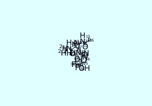 [2H]C([2H])([2H])NC(=O)c1nnc(NC(=O)C2CC2)cc1Nc1cnn2ccc([C@H](O)C(F)(F)F)c(OC)c12